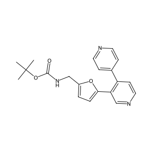 CC(C)(C)OC(=O)NCc1ccc(-c2cnccc2-c2ccncc2)o1